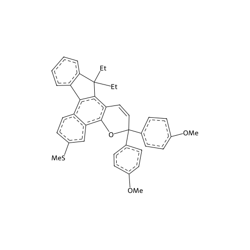 CCC1(CC)c2ccccc2-c2c1c1c(c3cc(SC)ccc23)OC(c2ccc(OC)cc2)(c2ccc(OC)cc2)C=C1